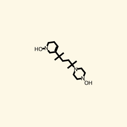 CC(C)(CCC(C)(C)N1CCN(O)CC1)C1=CCCN(O)C1